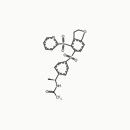 C[C@H](NC(=O)C(F)(F)F)c1ccc(S(=O)(=O)c2ccc3c(c2S(=O)(=O)c2ccccn2)CCO3)cc1